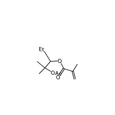 C=C(C)C(=O)OC(CC)C(C)(C)OC(C)=O